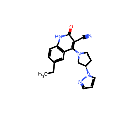 CCc1ccc2[nH]c(=O)c(C#N)c(N3CC[C@@H](n4cccn4)C3)c2c1